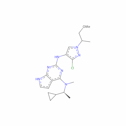 COCC(C)n1cc(Nc2nc(N(C)[C@@H](C)C3CC3)c3cc[nH]c3n2)c(Cl)n1